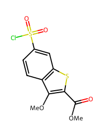 COC(=O)c1sc2cc(S(=O)(=O)Cl)ccc2c1OC